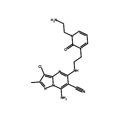 Cc1nn2c(N)c(C#N)c(NCCc3cccn(CCN)c3=O)nc2c1Cl